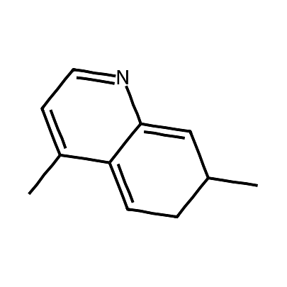 Cc1ccnc2c1=CCC(C)C=2